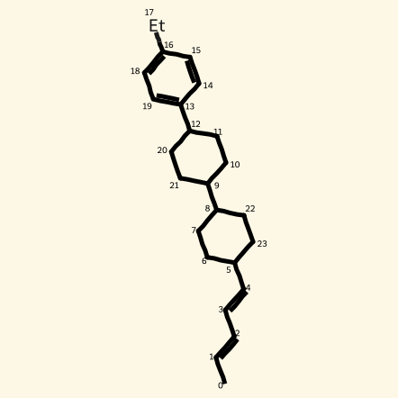 CC=CC=CC1CCC(C2CCC(c3ccc(CC)cc3)CC2)CC1